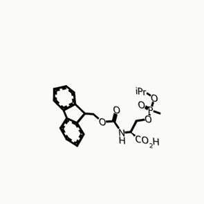 CC(C)OP(C)(=O)OC[C@H](NC(=O)OCC1c2ccccc2-c2ccccc21)C(=O)O